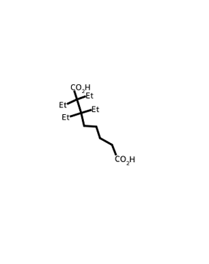 CCC(CC)(CCCCC(=O)O)C(CC)(CC)C(=O)O